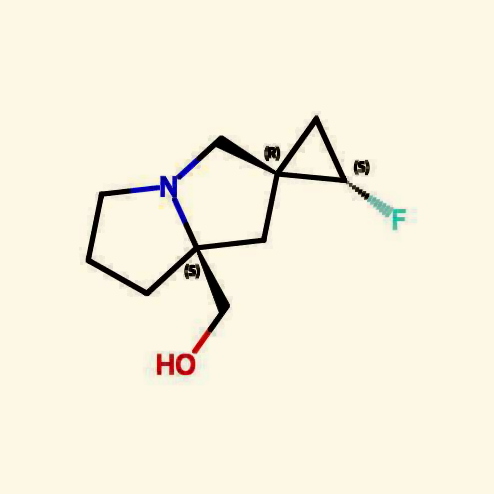 OC[C@@]12CCCN1C[C@]1(C[C@@H]1F)C2